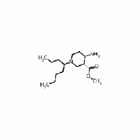 CCCCC(CCC)N1CC[C@@H](N)[C@H](C(=O)OC)C1